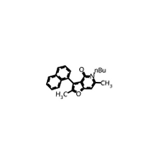 CCCCn1c(C)cc2oc(C)c(-c3cccc4ccccc34)c2c1=O